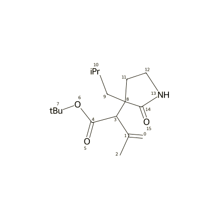 C=C(C)C(C(=O)OC(C)(C)C)C1(CC(C)C)CCNC1=O